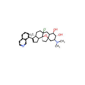 CN(C)[C@H]1C[C@@]23CC[C@]4(O2)C2CC=C(c5cccc6ccncc56)[C@@]2(C)CCC4(Cl)CC3[C@@H](O)[C@@H]1O